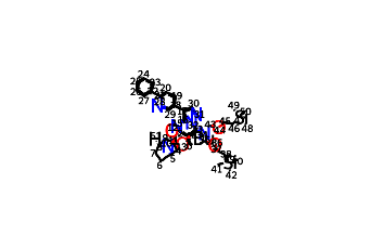 Cc1c([C@@H]2CC3CC[C@@H](C2)N3C(=O)OC(C)(C)C)nc2c(-c3ccc(-c4ccccc4)nc3)cnn2c1N(COCC[Si](C)(C)C)COCC[Si](C)(C)C